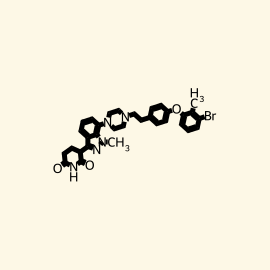 Cc1c(Br)cccc1Oc1ccc(CCN2CCN(c3cccc4c(C5CCC(=O)NC5=O)nn(C)c34)CC2)cc1